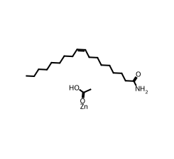 CC(=O)O.CCCCCCCC/C=C\CCCCCCCC(N)=O.[Zn]